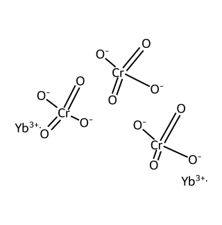 [O]=[Cr](=[O])([O-])[O-].[O]=[Cr](=[O])([O-])[O-].[O]=[Cr](=[O])([O-])[O-].[Yb+3].[Yb+3]